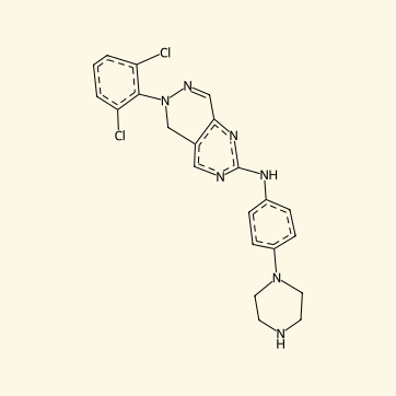 Clc1cccc(Cl)c1N1Cc2cnc(Nc3ccc(N4CCNCC4)cc3)nc2C=N1